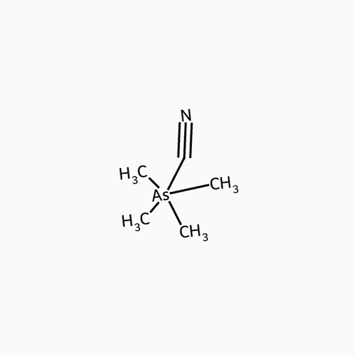 C[As](C)(C)(C)C#N